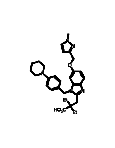 CCC(CC)(Cc1nc2ccc(OCc3ccn(C)n3)cc2n1Cc1ccc(N2CCCCC2)cc1)C(=O)O